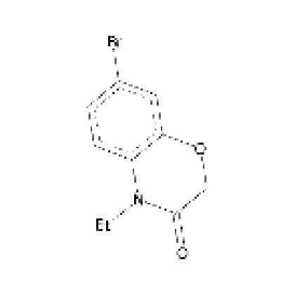 [CH2]CN1C(=O)COc2cc(Br)ccc21